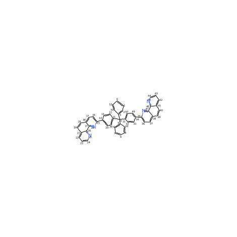 c1ccc(C(c2ccccc2)(c2ccc(-c3ccc4ccc5cccnc5c4n3)cc2)c2ccc(-c3ccc4ccc5cccnc5c4n3)cc2)cc1